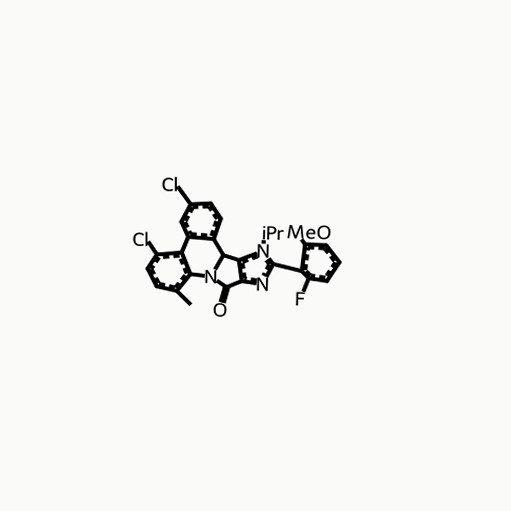 COc1cccc(F)c1-c1nc2c(n1C(C)C)C1c3ccc(Cl)cc3-c3c(Cl)ccc(C)c3N1C2=O